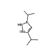 CC(C)C1=CN(C(C)C)NN1